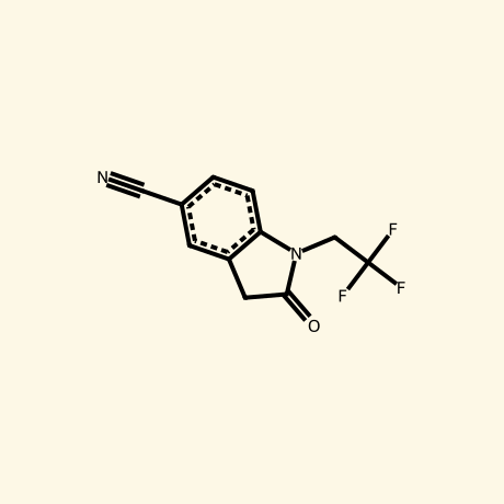 N#Cc1ccc2c(c1)CC(=O)N2CC(F)(F)F